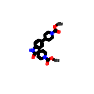 CC(C)(C)OC(=O)N1CCC(c2ccc3c(c2)C2(CCN(C(=O)OC(C)(C)C)CC2)C(=O)N3)CC1